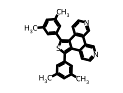 Cc1cc(C)cc(-c2sc(-c3cc(C)cc(C)c3)c3c4ccncc4c4cnccc4c23)c1